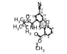 CCOC(=O)c1cccnc1Sc1c(Cl)cc(C#N)cc1C(=N)[S+]([O-])C(C)(C)C